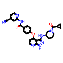 N#Cc1ccnc(NC(=O)c2ccc(Oc3ccnc4[nH]nc(N[C@@H]5CCCN(C(=O)C6CC6)C5)c34)cc2)c1